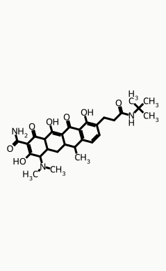 CC1c2ccc(CCC(=O)NC(C)(C)C)c(O)c2C(=O)C2=C(O)C3C(=O)C(C(N)=O)=C(O)C(N(C)C)C3CC21